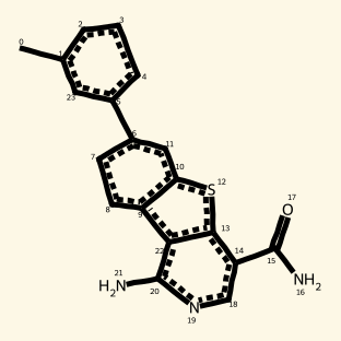 Cc1cccc(-c2ccc3c(c2)sc2c(C(N)=O)cnc(N)c23)c1